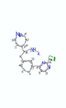 NC(Cc1cccc(-c2ccnc(Cl)n2)c1)c1ccncc1